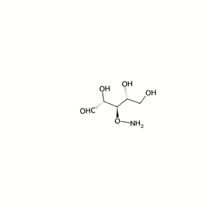 NO[C@H]([C@H](O)CO)[C@@H](O)C=O